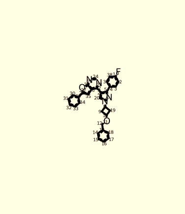 Fc1ccc(-c2nn(C3CC(OCc4ccccc4)C3)cc2-c2ncnc3oc(-c4ccccc4)cc23)cc1